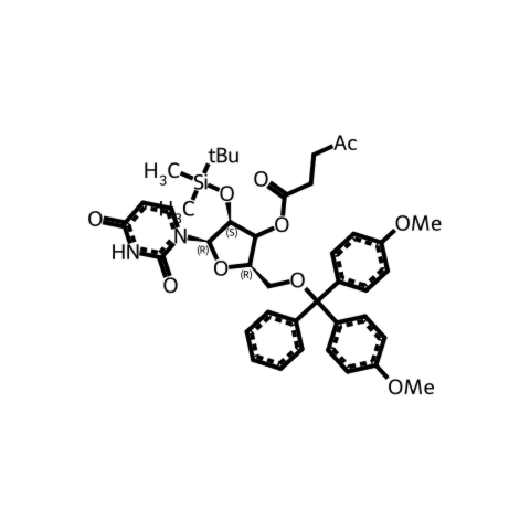 COc1ccc(C(OC[C@H]2O[C@@H](n3ccc(=O)[nH]c3=O)[C@@H](O[Si](C)(C)C(C)(C)C)C2OC(=O)CCC(C)=O)(c2ccccc2)c2ccc(OC)cc2)cc1